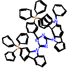 c1ccc2c3ccc4c(c5ccccc5n4-c4ccccc4)c3n(-c3nc(-c4cccc(S(c5ccccc5)(c5ccccc5)c5ccccc5)c4)nc(-n4c5ccccc5c5ccc(S(C6=CCCC=C6)(c6ccccc6)c6ccccc6)cc54)n3)c2c#1